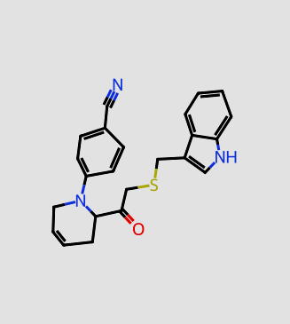 N#Cc1ccc(N2CC=CCC2C(=O)CSCc2c[nH]c3ccccc23)cc1